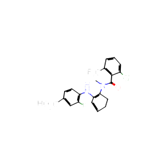 CN(C(=O)c1c(Cl)cccc1C(F)(F)F)C1=C(Nc2ccc(C(=O)O)cc2F)C=CCC1